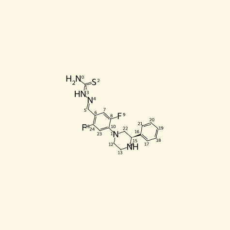 NC(=S)NN=Cc1cc(F)c(N2CCN[C@H](c3ccccc3)C2)cc1F